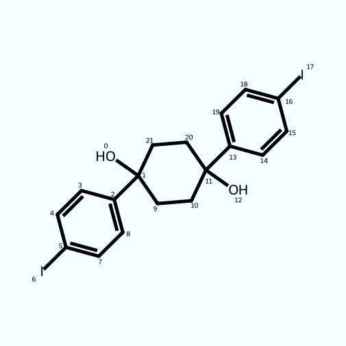 OC1(c2ccc(I)cc2)CCC(O)(c2ccc(I)cc2)CC1